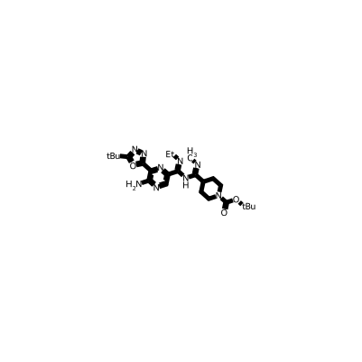 CC/N=C(/N/C(=N\C)C1CCN(C(=O)OC(C)(C)C)CC1)c1cnc(N)c(-c2nnc(C(C)(C)C)o2)n1